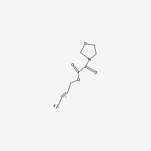 O=C(OC/C=C/C(F)(F)F)C(=O)N1CCOC1